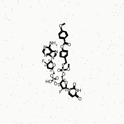 COc1ccc(C(=O)Oc2ccc(CSP(=O)(OC)OC[C@H]3O[C@@H](n4ccc(=O)[nH]c4=O)[C@H](F)[C@@H]3OP(=O)(O)OC[C@@H]3C[C@@H](F)[C@H](n4cnc5c(N)ncnc54)O3)cc2)cc1